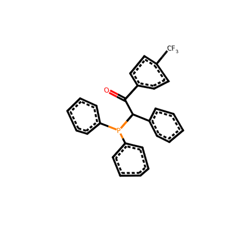 O=C(c1ccc(C(F)(F)F)cc1)C(c1ccccc1)P(c1ccccc1)c1ccccc1